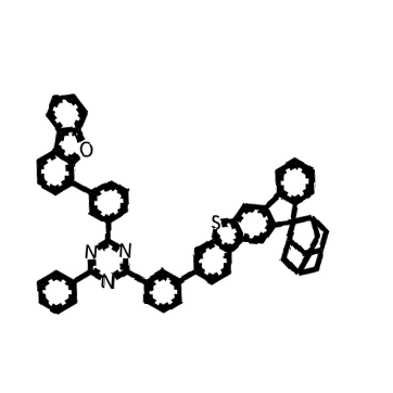 c1ccc(-c2nc(-c3cccc(-c4ccc5c(c4)sc4cc6c(cc45)C4(c5ccccc5-6)C5CC6CC(C5)CC4C6)c3)nc(-c3cccc(-c4cccc5c4oc4ccccc45)c3)n2)cc1